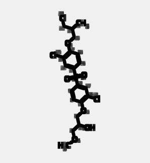 COCC(O)COc1ccc(S(=O)(=O)c2ccc(OCC(C)CCl)c(Cl)c2)cc1Cl